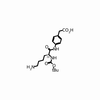 CC(C)(C)OC(=O)N[C@@H](CCCCN)C(=O)Nc1ccc(CC(=O)O)cc1